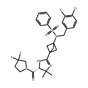 CC1(C)N=C(C23CC(N(Cc4ccc(Cl)c(F)c4)S(=O)(=O)c4ccccc4)(C2)C3)N[C@H]1C(=O)N1CCC(F)(F)C1